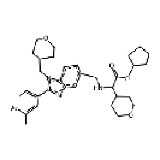 C/C=C(\C=C(\C)C(C)=O)c1nc2cc(CNC(C(=O)OC3CCCC3)C3CCOCC3)ccc2n1CC1CCOCC1